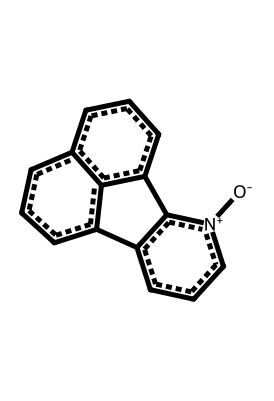 [O-][n+]1cccc2c1-c1cccc3cccc-2c13